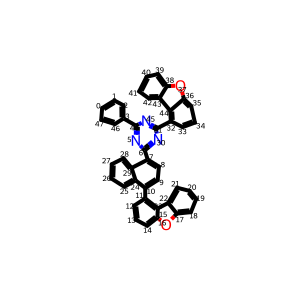 c1ccc(-c2nc(-c3ccc(-c4cccc5oc6ccccc6c45)c4ccccc34)nc(-c3cccc4oc5ccccc5c34)n2)cc1